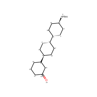 CCCCCC[C@H]1CC[C@H]([C@H]2CC[C@H](C3CCCC(=O)C3)CC2)CC1